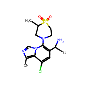 CCC(N)c1cc(Cl)c2c(C#N)ncn2c1N1CCS(=O)(=O)C(C)C1